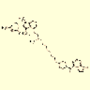 C=C(CCCCCCCCc1ccc(Nc2ncnc3[nH]ccc23)cc1)CCc1cccc2c(=C)n(C3CCC(=C)NC3=C)c(=C)c12